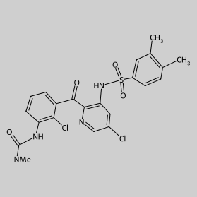 CNC(=O)Nc1cccc(C(=O)c2ncc(Cl)cc2NS(=O)(=O)c2ccc(C)c(C)c2)c1Cl